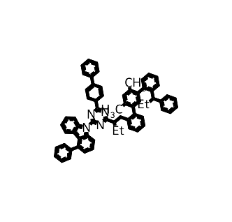 CCC(Cc1ccccc1-c1cc(-c2ccccc2C(CC)c2ccccc2)c(C)cc1C)c1nc(C2C=CC(c3ccccc3)=CC2)nc(-n2c3ccccc3c3c(-c4ccccc4)cccc32)n1